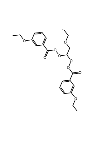 [CH2]COC[C](OOC(=O)c1cccc(OCC)c1)OOC(=O)c1cccc(OCC)c1